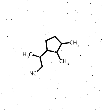 CC1CCC([C@H](C)CC#N)C1C